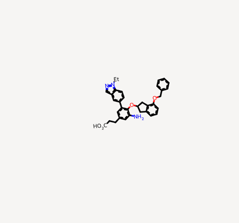 CCn1ncc2cc(-c3cc(CCC(=O)O)cc(N)c3OC3Cc4cccc(OCc5ccccc5)c4C3)ccc21